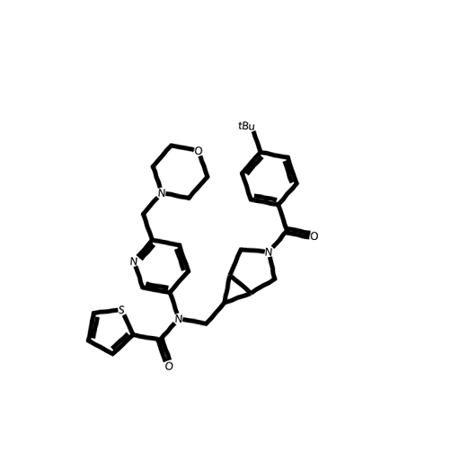 CC(C)(C)c1ccc(C(=O)N2CC3C(C2)C3CN(C(=O)c2cccs2)c2ccc(CN3CCOCC3)nc2)cc1